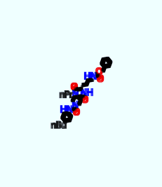 CCCCc1ccc(NC(=O)N2CCC3(CC2)C(=O)N[C@@H](CCCCNC(=O)OCc2ccccc2)C(=O)N3CCC)cc1